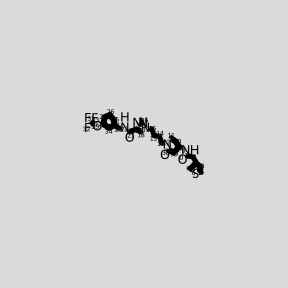 O=C(Cc1ccsc1)Nc1ccn(CCCCn2cc(C(=O)NCc3cccc(OC(F)(F)F)c3)nn2)c(=O)c1